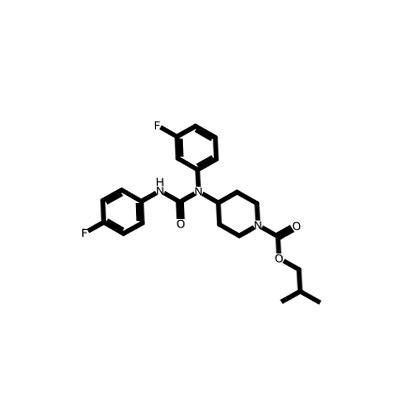 CC(C)COC(=O)N1CCC(N(C(=O)Nc2ccc(F)cc2)c2cccc(F)c2)CC1